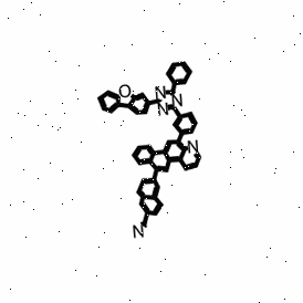 N#Cc1ccc2cc(-c3cc4c5cccnc5c(-c5cccc(-c6nc(-c7ccccc7)nc(-c7ccc8c(c7)oc7ccccc78)n6)c5)cc4c4ccccc34)ccc2c1